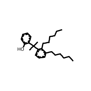 CCCCCCc1cccc(C(C)(C)c2ccccc2O)c1CCCCCC